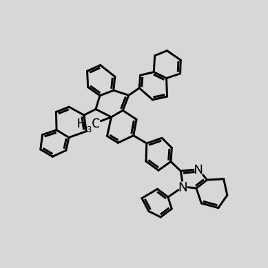 CC12C=CC(c3ccc(-c4nc5c(n4-c4ccccc4)C=CCC5)cc3)=CC1=C(c1ccc3c(c1)CCC=C3)c1ccccc1C2c1ccc2ccccc2c1